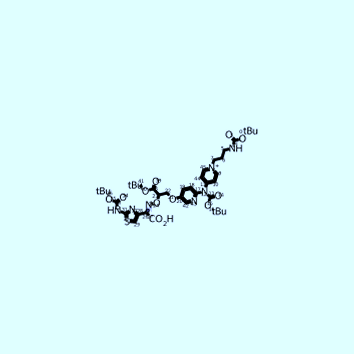 CC(C)(C)OC(=O)NCCC[n+]1ccc(N(C(=O)OC(C)(C)C)c2ccc(OCC(O/N=C(\C(=O)O)c3csc(NC(=O)OC(C)(C)C)n3)C(=O)OC(C)(C)C)cn2)cc1